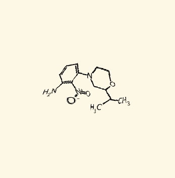 CC(C)C1CN(c2cccc(N)c2[N+](=O)[O-])CCO1